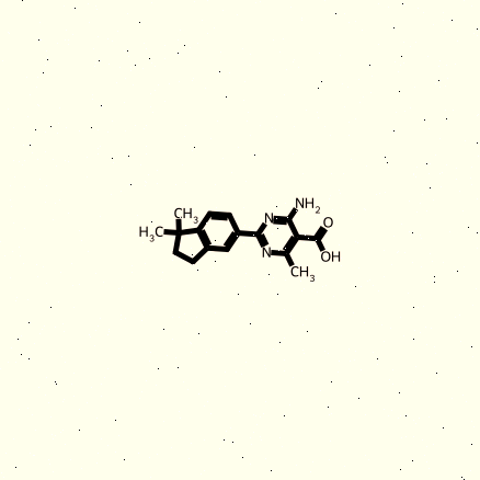 Cc1nc(-c2ccc3c(c2)CCC3(C)C)nc(N)c1C(=O)O